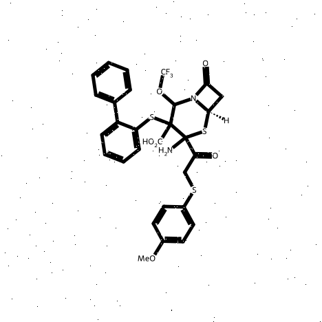 COc1ccc(SCC(=O)C2(N)S[C@@H]3CC(=O)N3C(OC(F)(F)F)C2(Sc2ccccc2-c2ccccc2)C(=O)O)cc1